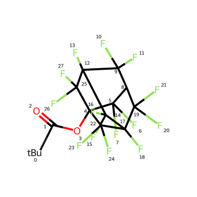 CC(C)(C)C(=O)OC12C(F)(F)C3C(F)(F)C(F)(C(F)(F)C(F)(C3(F)F)C1(F)F)C2(F)F